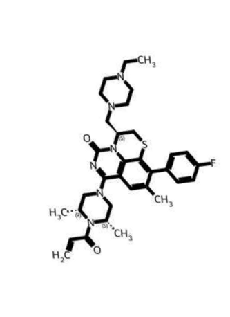 C=CC(=O)N1[C@H](C)CN(c2nc(=O)n3c4c(c(-c5ccc(F)cc5)c(C)cc24)SC[C@@H]3CN2CCN(CC)CC2)C[C@@H]1C